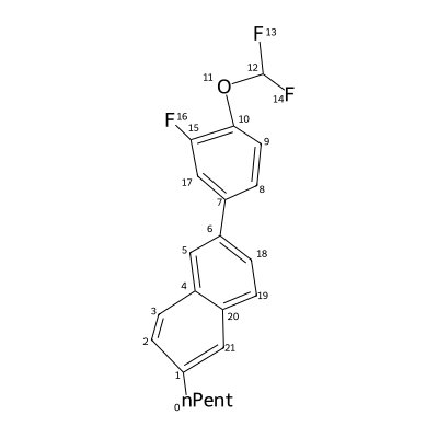 CCCCCc1ccc2cc(-c3ccc(OC(F)F)c(F)c3)ccc2c1